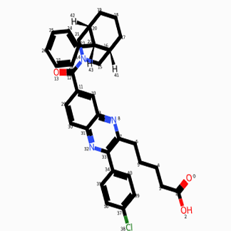 O=C(O)CCCCc1nc2cc(C(=O)N3C[C@H]4CCC[C@@H](C3)[C@H]4c3ccccc3)ccc2nc1-c1ccc(Cl)cc1